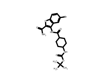 CC(C)(C)OC(=O)NC1CCC(C(=O)Nc2c(C(N)=O)oc3ccc(Br)cc23)CC1